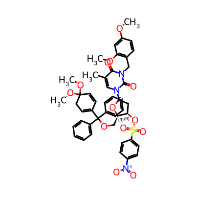 COc1ccc(Cn2c(=O)c(C)cn([C@H]3C[C@@H](OS(=O)(=O)c4ccc([N+](=O)[O-])cc4)[C@@H](COC(C4=CCC(OC)(OC)C=C4)(c4ccccc4)c4ccccc4)O3)c2=O)c(OC)c1